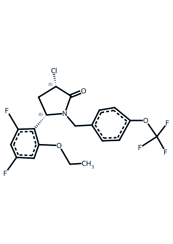 CCOc1cc(F)cc(F)c1[C@@H]1C[C@H](Cl)C(=O)N1Cc1ccc(OC(F)(F)F)cc1